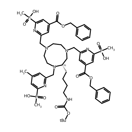 Cc1cc(CN2CCN(Cc3cc(C(=O)OCc4ccccc4)cc(P(C)(=O)O)n3)CCN(Cc3cc(C(=O)OCc4ccccc4)cc(P(C)(=O)O)n3)C[C@@H]2CCCCNC(=O)OC(C)(C)C)nc(P(C)(=O)O)c1